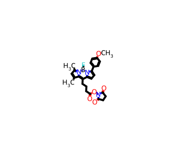 COc1ccc(-c2ccc3n2B(F)[N+]2=C(C)C=C(C)C2=C3CCCC(=O)ON2C(=O)CCC2=O)cc1